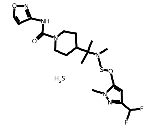 CN(SOc1cc(C(F)F)nn1C)C(C)(C)C1CCN(C(=O)Nc2ccon2)CC1.S